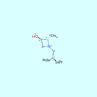 CCC[C@H](CN1C[C@@H](O)[C@@H]1C)NC